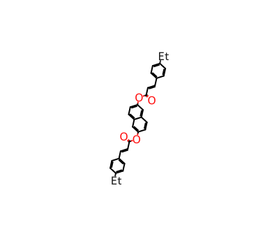 CCc1ccc(/C=C/C(=O)Oc2ccc3cc(OC(=O)/C=C/c4ccc(CC)cc4)ccc3c2)cc1